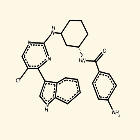 Nc1ccc(C(=O)N[C@H]2CCCC(Nc3ncc(Cl)c(-c4c[nH]c5ccccc45)n3)C2)cc1